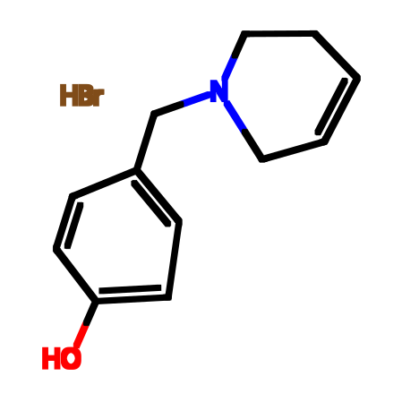 Br.Oc1ccc(CN2CC=CCC2)cc1